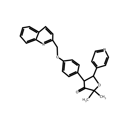 CC1(C)OC(c2ccncc2)C(c2ccc(OCc3ccc4ccccc4n3)cc2)C1=O